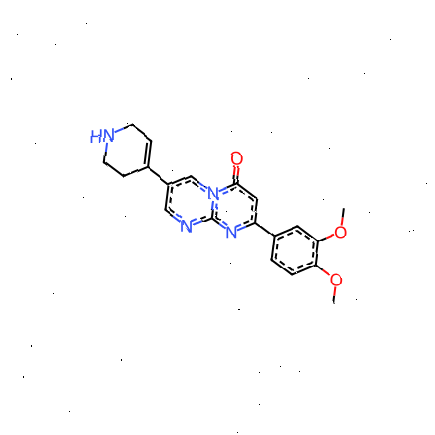 COc1ccc(-c2cc(=O)n3cc(C4=CCNCC4)cnc3n2)cc1OC